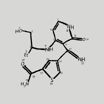 CCC(CO)Nc1cc[nH]c(=O)c1C(=N)c1csc(C(N)=O)c1